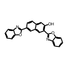 Oc1cc2ccc(-c3nc4ccccc4o3)cc2cc1-c1nc2ccccc2o1